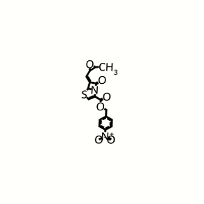 CC1OC1C=C1C(=O)N2C(C(=O)OCc3ccc([N+](=O)[O-])cc3)=CSC12